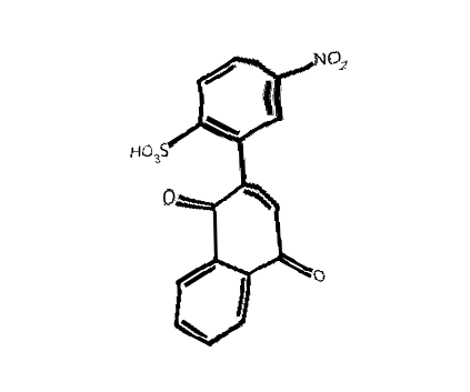 O=C1C=C(c2cc([N+](=O)[O-])ccc2S(=O)(=O)O)C(=O)c2ccccc21